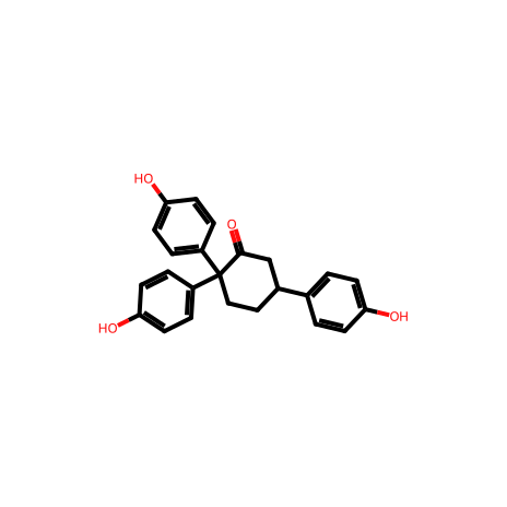 O=C1CC(c2ccc(O)cc2)CCC1(c1ccc(O)cc1)c1ccc(O)cc1